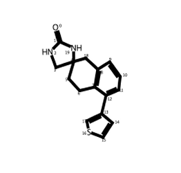 O=C1NCC2(CCc3c(cccc3-c3ccsc3)C2)N1